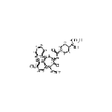 CCC(C(=O)O)C1CCN(C(=O)CN2CC(c3ccccc3Br)c3cc(Cl)ccc3C(CC(C)C)C2=O)CC1